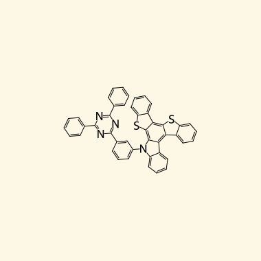 c1ccc(-c2nc(-c3ccccc3)nc(-c3cccc(-n4c5ccccc5c5c6c7ccccc7sc6c6c7ccccc7sc6c54)c3)n2)cc1